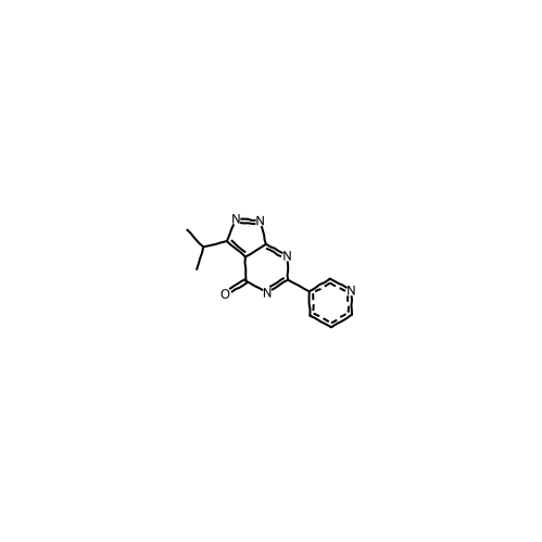 CC(C)C1=C2C(=O)N=C(c3cccnc3)N=C2N=N1